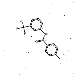 [CH2]c1ccc(C(=O)Nc2cccc(C(F)(F)F)c2)cc1